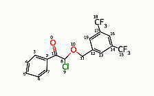 O=C(c1ccccc1)C(Cl)OCc1cc(C(F)(F)F)cc(C(F)(F)F)c1